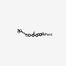 C=CC(=O)OCCCCCCOC1CCC(c2ccc(-c3ccc4c(c3)Cc3cc(OCCCCC)ccc3-4)c(F)c2)CC1